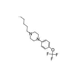 [CH2]CCCCN1CCN(c2ccc(OC(F)(F)F)cc2)CC1